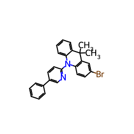 CC1(C)c2ccccc2N(c2ccc(-c3ccccc3)cn2)c2ccc(Br)cc21